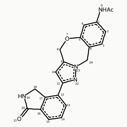 CC(=O)Nc1ccc2c(c1)OCc1cc(-c3cccc4c3CNC4=O)nn1C2